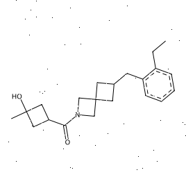 CCc1ccccc1CC1CC2(C1)CN(C(=O)C1CC(C)(O)C1)C2